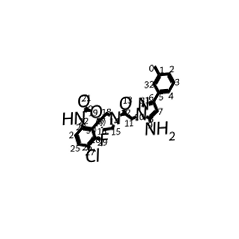 Cc1cccc(-c2cc(N)n(CC(=O)N3CC[C@@]4(C3)OC(=O)Nc3ccc(Cl)c(F)c34)n2)c1